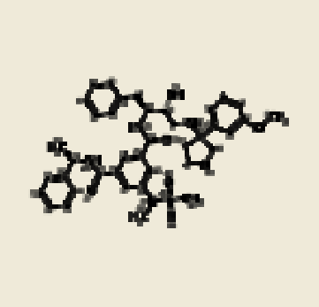 COc1cccc(C2(NC[C@@H](O)[C@H](Cc3ccccc3)NC(=O)c3cc(C(=O)N[C@H](C)c4ccccc4)cc(N(C)S(C)(=O)=O)c3)CCOC2)c1